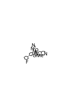 COc1cc(-c2cccc(F)c2)ccc1N(c1ccncn1)S(=O)(=O)c1ccc2cnccc2c1